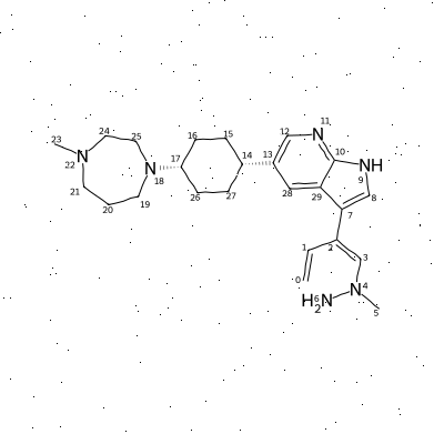 C=C/C(=C\N(C)N)c1c[nH]c2ncc([C@H]3CC[C@@H](N4CCCN(C)CC4)CC3)cc12